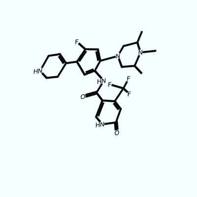 CC1CN(c2cc(F)c(C3=CCNCC3)cc2NC(=O)c2c[nH]c(=O)cc2C(F)(F)F)CC(C)N1C